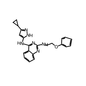 c1ccc(OCCNc2nc(Nc3cc(C4CC4)n[nH]3)c3ccccc3n2)cc1